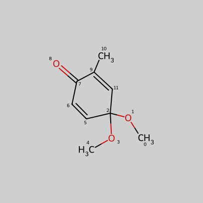 COC1(OC)C=CC(=O)C(C)=C1